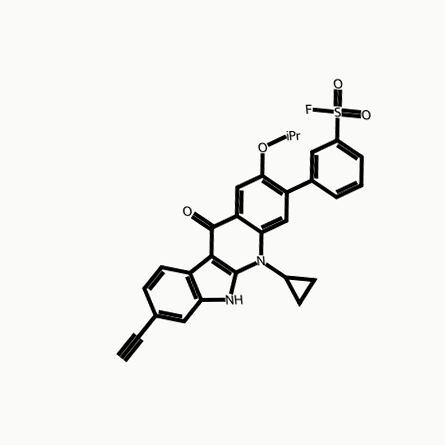 C#Cc1ccc2c(c1)[nH]c1c2c(=O)c2cc(OC(C)C)c(-c3cccc(S(=O)(=O)F)c3)cc2n1C1CC1